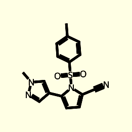 Cc1ccc(S(=O)(=O)n2c(C#N)ccc2-c2cnn(C)c2)cc1